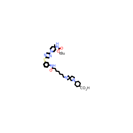 CC1(NC(=O)OC(C)(C)C)C=CN(c2cnc(Sc3cccc(NC(=O)CCCCCCN4CC5(CCN(C6CCC(C(=O)O)CC6)C5)C4)c3)cn2)C=C1